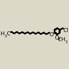 CCCCCCCCCCCCCCCCOc1ccc(CCl)cc1OC